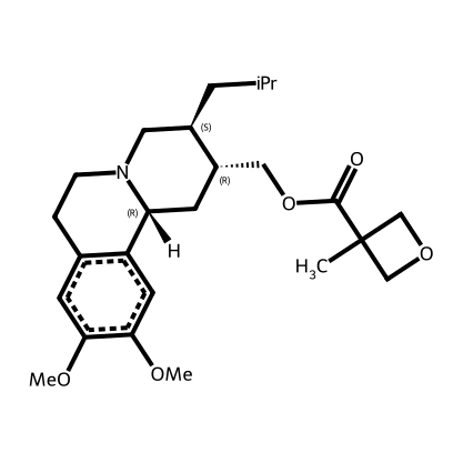 COc1cc2c(cc1OC)[C@H]1C[C@@H](COC(=O)C3(C)COC3)[C@H](CC(C)C)CN1CC2